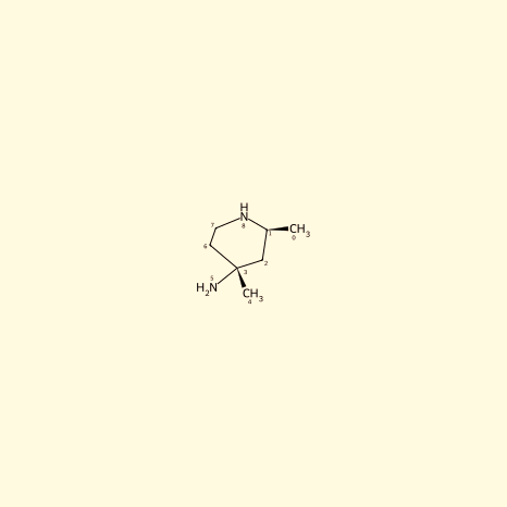 C[C@H]1C[C@](C)(N)CCN1